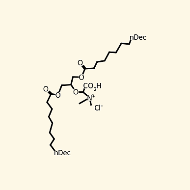 CCCCCCCCCCCCCCCCCC(=O)OCC(COC(=O)CCCCCCCCCCCCCCCCC)OC(C(=O)O)[N+](C)(C)C.[Cl-]